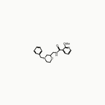 COc1ncccc1C(=O)NCC1CN(Cc2ccccc2)CCO1